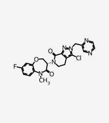 CN1C(=O)[C@@H](N2CCc3c(nn(Cc4cnccn4)c3Cl)C2=O)COc2cc(F)ccc21